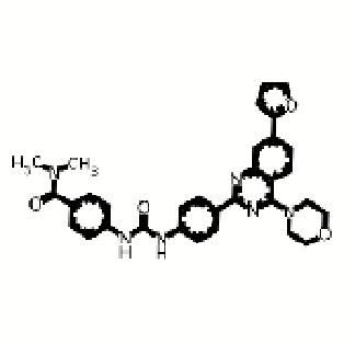 CN(C)C(=O)c1ccc(NC(=O)Nc2ccc(-c3nc(N4CCOCC4)c4ccc(-c5ccco5)cc4n3)cc2)cc1